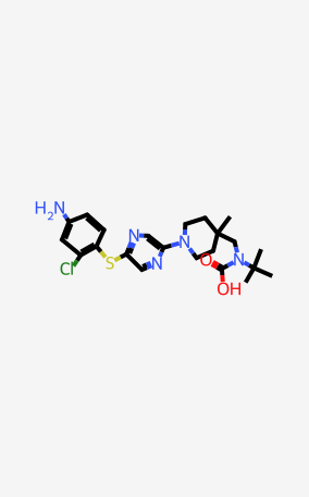 CC1(CN(C(=O)O)C(C)(C)C)CCN(c2cnc(Sc3ccc(N)cc3Cl)cn2)CC1